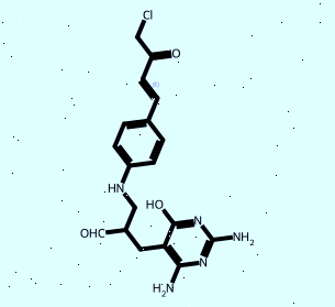 Nc1nc(N)c(CC(C=O)CNc2ccc(/C=C/C(=O)CCl)cc2)c(O)n1